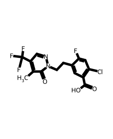 Cc1c(C(F)(F)F)cnn(CCc2cc(C(=O)O)c(Cl)cc2F)c1=O